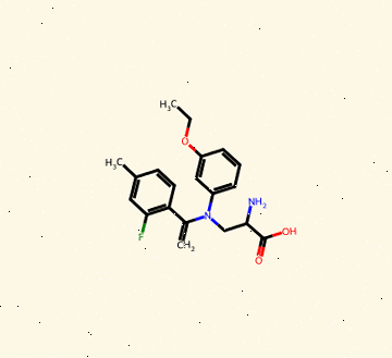 C=C(c1ccc(C)cc1F)N(CC(N)C(=O)O)c1cccc(OCC)c1